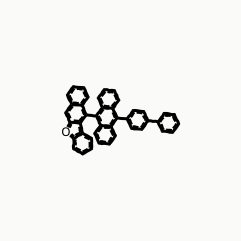 c1ccc(-c2ccc(-c3c4ccccc4c(-c4c5ccccc5cc5oc6ccccc6c45)c4ccccc34)cc2)cc1